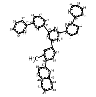 Cc1cc(-c2nc(-c3cccc(-c4ccccn4)n3)nc(-c3cccc(-c4ccccn4)n3)n2)ccc1-c1cnc2ccccc2c1